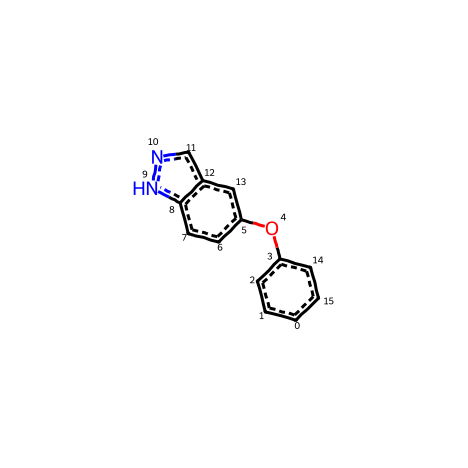 c1ccc(Oc2ccc3[nH]ncc3c2)cc1